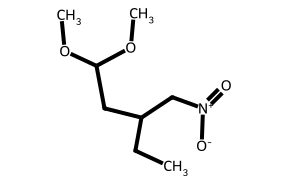 CCC(CC(OC)OC)C[N+](=O)[O-]